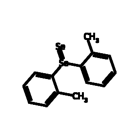 Cc1ccccc1[Se](=[Se])c1ccccc1C